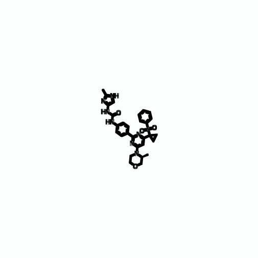 Cc1nc(NC(=O)Nc2ccc(-c3nc(N4CCOC[C@@H]4C)cc(C4(S(=O)(=O)c5ccccc5)CC4)n3)cc2)c[nH]1